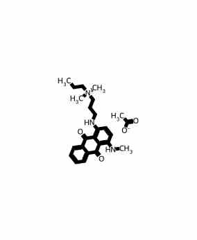 CC(=O)[O-].CCC[N+](C)(C)CCCNc1ccc(NC)c2c1C(=O)c1ccccc1C2=O